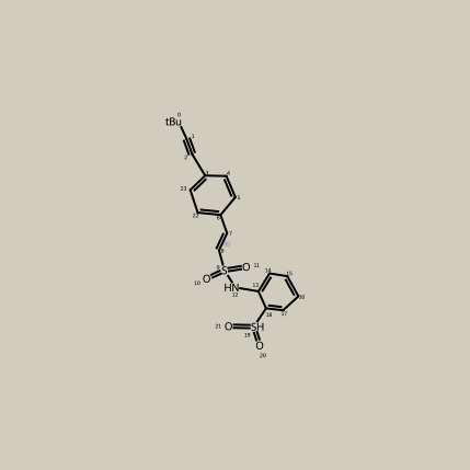 CC(C)(C)C#Cc1ccc(/C=C/S(=O)(=O)Nc2ccccc2[SH](=O)=O)cc1